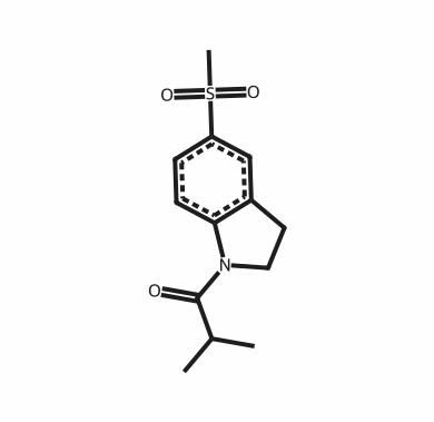 CC(C)C(=O)N1CCc2cc(S(C)(=O)=O)ccc21